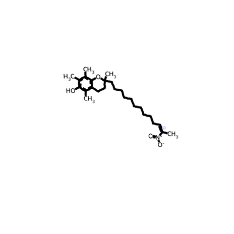 C/C(=C/CCCCCCCCCCC1(C)CCc2c(C)c(O)c(C)c(C)c2O1)[N+](=O)[O-]